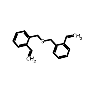 C=Cc1ccccc1CSCc1ccccc1C=C